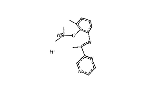 CC(=Nc1cccc(C)c1O[SiH](C)C)c1cnccn1.[H+]